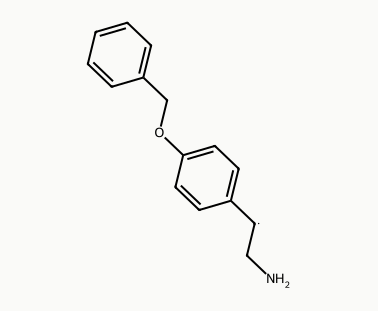 NC[CH]c1ccc(OCc2ccccc2)cc1